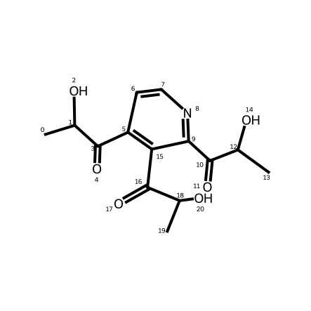 CC(O)C(=O)c1ccnc(C(=O)C(C)O)c1C(=O)C(C)O